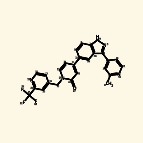 Cc1cc(-c2n[nH]c3ccc(-c4ccn(Cc5ccnc(C(F)(F)F)c5)c(=O)c4)cc23)ccn1